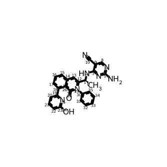 C[C@H](Nc1nc(N)ncc1C#N)c1cc2cccc(-c3cccc(O)n3)c2c(=O)n1-c1ccccc1